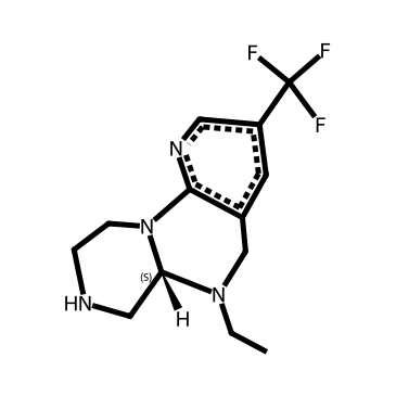 CCN1Cc2cc(C(F)(F)F)cnc2N2CCNC[C@@H]12